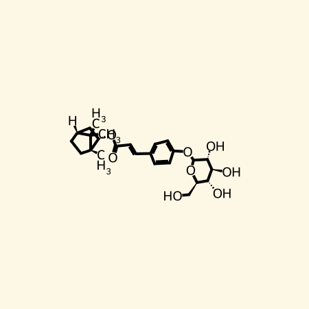 CC1(C)[C@@H]2CC[C@@]1(C)[C@@H](OC(=O)C=Cc1ccc(OC3O[C@H](CO)[C@@H](O)[C@H](O)[C@H]3O)cc1)C2